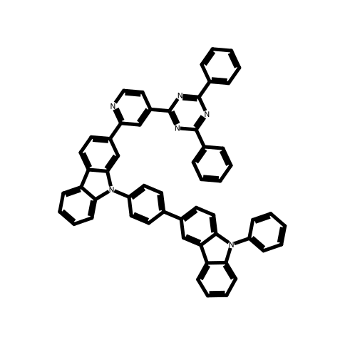 c1ccc(-c2nc(-c3ccccc3)nc(-c3ccnc(-c4ccc5c6ccccc6n(-c6ccc(-c7ccc8c(c7)c7ccccc7n8-c7ccccc7)cc6)c5c4)c3)n2)cc1